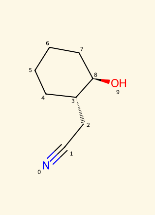 N#CC[C@@H]1CCCC[C@H]1O